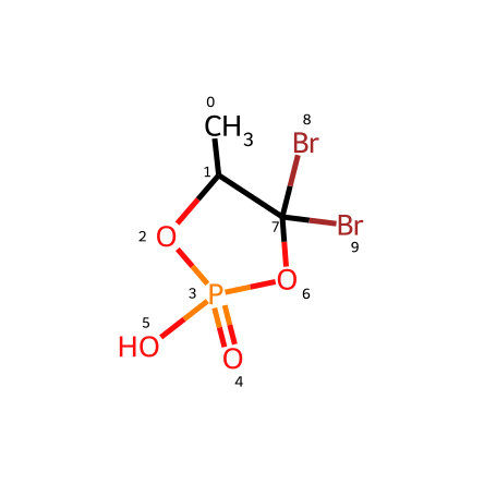 CC1OP(=O)(O)OC1(Br)Br